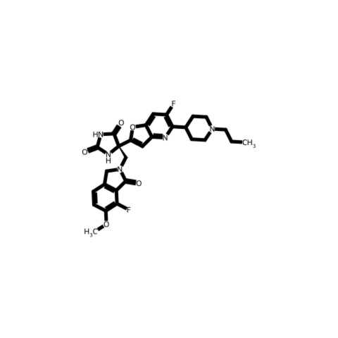 CCCN1CCC(c2nc3cc([C@]4(CN5Cc6ccc(OC)c(F)c6C5=O)NC(=O)NC4=O)oc3cc2F)CC1